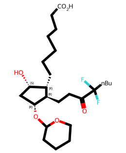 CCCCC(F)(F)C(=O)CC[C@@H]1[C@@H](CCCCCCC(=O)O)[C@@H](O)C[C@H]1OC1CCCCO1